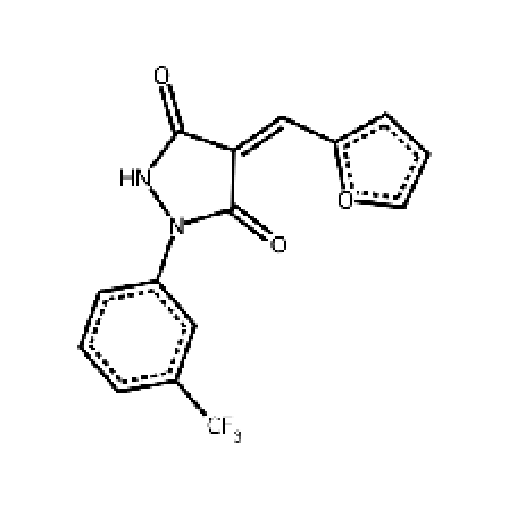 O=C1NN(c2cccc(C(F)(F)F)c2)C(=O)C1=Cc1ccco1